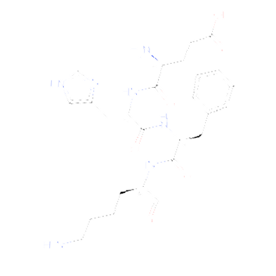 NCCCC[C@H]([C]=O)NC(=O)[C@H](Cc1ccccc1)NC(=O)[C@H](Cc1c[nH]cn1)NC(=O)[C@@H](N)CCC(=O)O